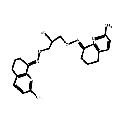 CCC(CO/N=C1\CCCc2ccc(C)nc21)CO/N=C1\CCCc2ccc(C)nc21